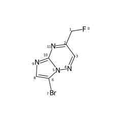 FCc1cnn2c(Br)cnc2n1